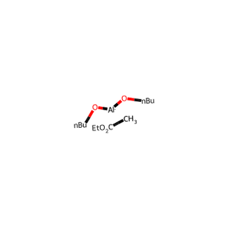 CCCC[O][Al][O]CCCC.CCOC(C)=O